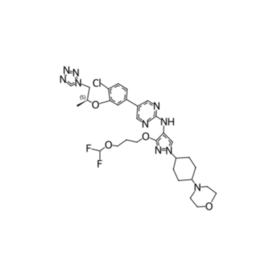 C[C@@H](Cn1cnnn1)Oc1cc(-c2cnc(Nc3cn(C4CCC(N5CCOCC5)CC4)nc3OCCCOC(F)F)nc2)ccc1Cl